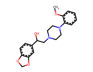 COc1ccccc1N1CCN(CC(O)c2ccc3c(c2)OCO3)CC1